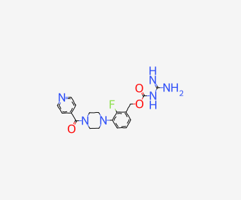 N=C(N)NC(=O)OCc1cccc(N2CCN(C(=O)c3ccncc3)CC2)c1F